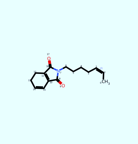 C/C=C\CCCCN1C(=O)C2=C(CCC=C2)C1=O